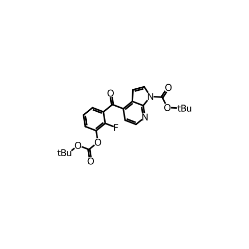 CC(C)(C)OC(=O)Oc1cccc(C(=O)c2ccnc3c2ccn3C(=O)OC(C)(C)C)c1F